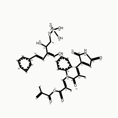 C=C(C)C(=O)OC(=O)C(C)=CN(C(=O)C(C)=CC1=CC(=O)NC1=O)c1ccccc1.N#CC=C(C=Cc1ccccc1)C(O)COP(=O)(O)O